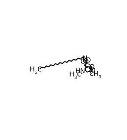 CCCCCCCCCCCCCCCCCCC/C=N\S(=O)(=O)c1cc2c(s1)S(=O)(=O)[C@@H](C)C[C@@H]2NCC